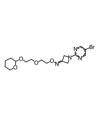 Brc1cnc(N2CC(=NOCCOCCOC3CCCCO3)C2)nc1